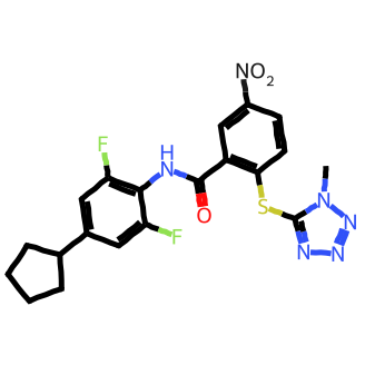 Cn1nnnc1Sc1ccc([N+](=O)[O-])cc1C(=O)Nc1c(F)cc(C2CCCC2)cc1F